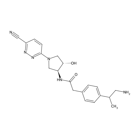 CC(CN)c1ccc(CC(=O)N[C@H]2CN(c3ccc(C#N)nn3)C[C@@H]2O)cc1